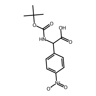 CC(C)(C)OC(=O)NC(C(=O)O)c1ccc([N+](=O)[O-])cc1